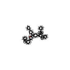 c1ccc(-c2ccc(N(c3ccc(-c4cc5oc6ccccc6c5c5nc(-c6ccccc6)oc45)cc3)c3ccc(-c4cccc5oc6ccccc6c45)cc3)cc2)cc1